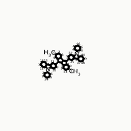 Cc1ccc2c(c1)C(c1ccc3c(c1)c1ccccc1n3-c1ccccc1)=C1C2=C(c2ccc3c(c2)c2ccccc2n3-c2ccccc2)c2cc(C)ccc21